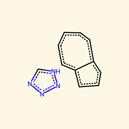 c1ccc2cccc-2cc1.c1nnn[nH]1